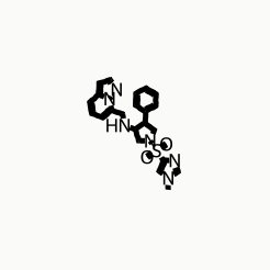 Cn1cnc(S(=O)(=O)N2CC(NCc3cccc4ccnn34)C(c3ccccc3)C2)c1